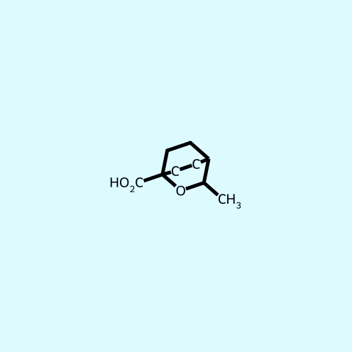 CC1OC2(C(=O)O)CCC1CC2